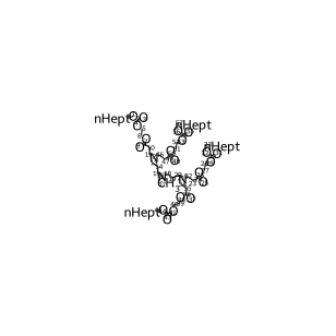 CCCCCCCOC(=O)OCCOC(=O)CCN(CCCN(C)CCCN(CCC(=O)OCCOC(=O)OCCCCCCC)CCC(=O)OCCOC(=O)OCCCCCCC)CCC(=O)OCCOC(=O)OCCCCCCC